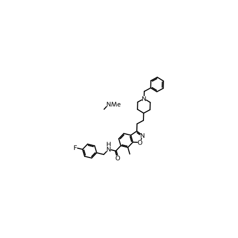 CNC.Cc1c(C(=O)NCc2ccc(F)cc2)ccc2c(CCC3CCN(Cc4ccccc4)CC3)noc12